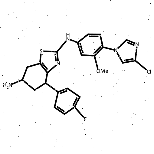 COc1cc(Nc2nc3c(s2)CC(N)CC3c2ccc(F)cc2)ccc1-n1cnc(Cl)c1